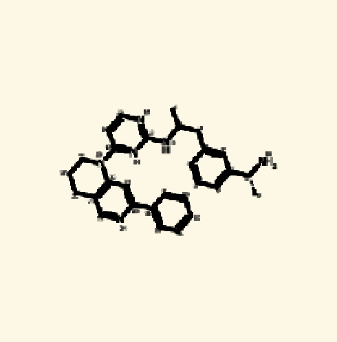 CC(Cc1cccc([C@@H](C)N)c1)Nc1nccc(N2CCCc3cnc(-c4ccccc4)cc32)n1